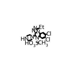 CCc1nnc2c(N3CCNCC3)nc3cc(Cl)c(Cl)cc3n12.CS(=O)(=O)O